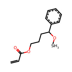 C=CC(=O)OCCCC(O[SiH3])c1ccccc1